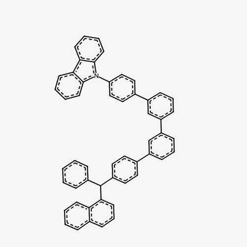 c1ccc(C(c2ccc(-c3cccc(-c4cccc(-c5ccc(-n6c7ccccc7c7ccccc76)cc5)c4)c3)cc2)c2cccc3ccccc23)cc1